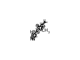 Cc1nn(CC(=O)Nc2ccc3nncn3n2)c(=O)c2cc(C3CC3)oc12